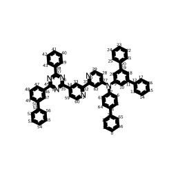 c1ccc(-c2ccc(N(c3cc(-c4ccccc4)cc(-c4ccccc4)c3)c3ccnc(-c4cc(-c5nc(-c6ccccc6)nc(-c6cccc(-c7ccccc7)c6)n5)ccn4)c3)cc2)cc1